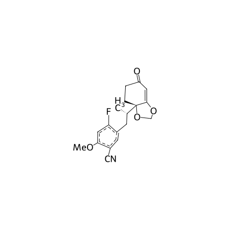 COc1cc(F)c(C[C@H](C)[C@]23CCC(=O)C=C2OCO3)cc1C#N